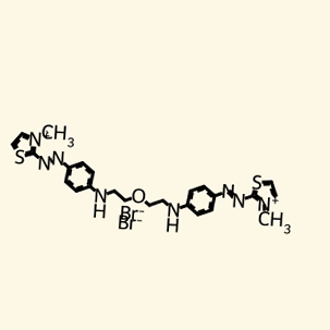 C[n+]1ccsc1/N=N/c1ccc(NCCOCCNc2ccc(/N=N/c3scc[n+]3C)cc2)cc1.[Br-].[Br-]